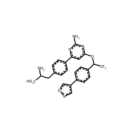 Nc1nc(OC(c2ccc(-c3cnoc3)cc2)C(F)(F)F)cc(-c2ccc(CC(N)C(=O)O)cc2)n1